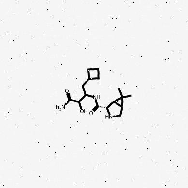 CC1(C)C2CN[C@H](C(=O)NC(CC3CCC3)C(O)C(N)=O)C21